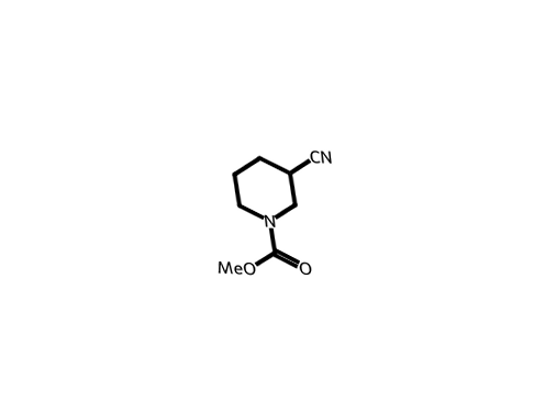 COC(=O)N1CCCC(C#N)C1